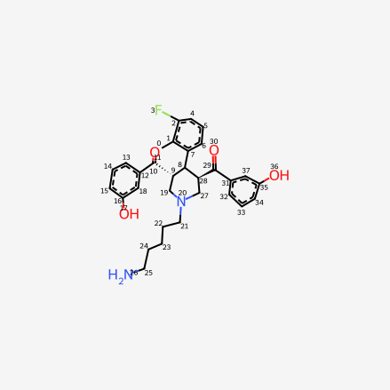 Cc1c(F)cccc1C1[C@@H](C(=O)c2cccc(O)c2)CN(CCCCCN)C[C@@H]1C(=O)c1cccc(O)c1